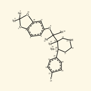 [2H]C1([2H])Oc2ccc(OC([2H])([2H])C3([2H])CNCC[C@@]3([2H])c3ccc(F)cc3)cc2O1